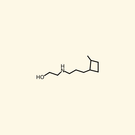 CC1CCC1CCCNCCO